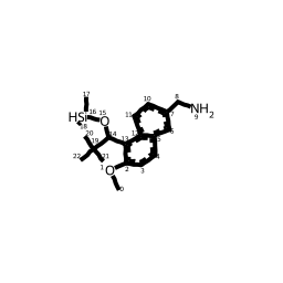 COc1ccc2cc(CN)ccc2c1C(O[SiH](C)C)C(C)(C)C